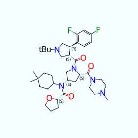 CN1CCN(C(=O)[C@@H]2C[C@H](N(C(=O)[C@@H]3CCCO3)C3CCC(C)(C)CC3)CN2C(=O)[C@@H]2CN(C(C)(C)C)C[C@H]2c2ccc(F)cc2F)CC1